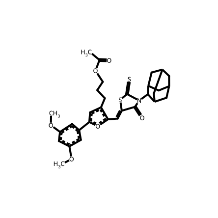 COc1cc(OC)cc(-c2cc(CCCOC(C)=O)c(C=C3SC(=S)N(C4C5CC6CC(C5)CC4C6)C3=O)o2)c1